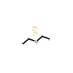 C[CH2][Sn][CH2]C.P.P